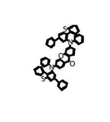 O=c1c2ccc(N(c3ccccc3)c3cc(-c4ccccc4)cc4sc5ccccc5c34)cc2oc2cc(N(c3ccccc3)c3cc(-c4ccccc4)cc4sc5ccccc5c34)ccc12